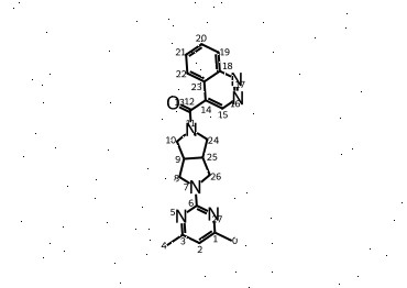 Cc1cc(C)nc(N2CC3CN(C(=O)c4cnnc5ccccc45)CC3C2)n1